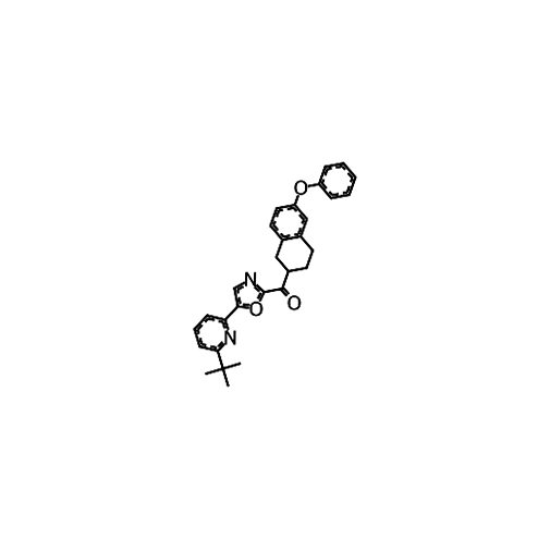 CC(C)(C)c1cccc(-c2cnc(C(=O)C3CCc4cc(Oc5ccccc5)ccc4C3)o2)n1